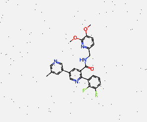 COc1ccc(CNC(=O)c2cc(-c3cncc(C)c3)cnc2-c2cccc(F)c2F)nc1OC